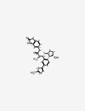 Cc1ncc(-c2cccc([C@@H](CN3CC[C@H](O)C3)N(C)C(=O)Cc3ccc4c(c3)NC(=O)C4)c2)s1